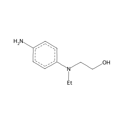 CCN(CCO)c1ccc(N)cc1